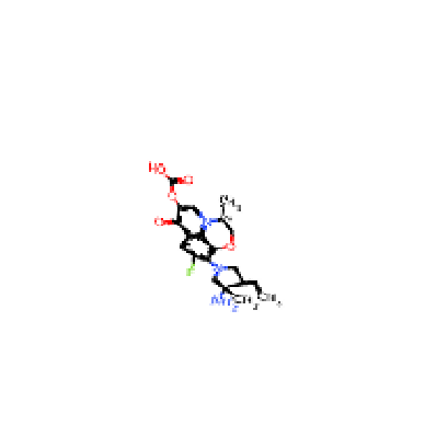 CCC1CN(c2c(F)cc3c(=O)c(OC(=O)O)cn4c3c2OC[C@@H]4C)CC1(C)N